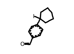 O=Cc1ccc(C2(I)CCCCC2)cc1